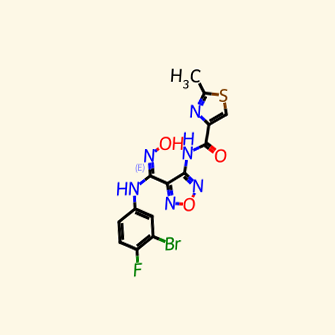 Cc1nc(C(=O)Nc2nonc2/C(=N\O)Nc2ccc(F)c(Br)c2)cs1